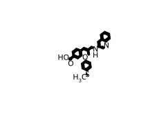 CSc1ccc(OCC(=Cc2ccc(C(=O)O)cc2)CNc2cnc3ccccc3c2)cc1